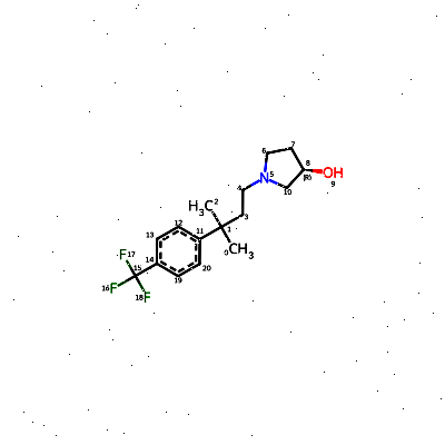 CC(C)(CCN1CC[C@@H](O)C1)c1ccc(C(F)(F)F)cc1